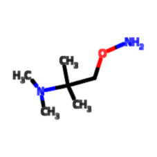 CN(C)C(C)(C)CON